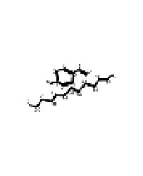 C=Cc1ccc(C)cc1.CCCCCCCCCCCCC